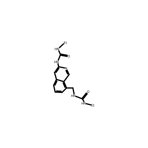 CCNC(=O)NCc1cccc2cc(NC(=O)NCC)ncc12